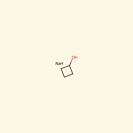 OC1CCC1.[NaH]